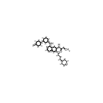 C=CC(=O)Nc1cc2c(Nc3cccc(-c4ccc(F)cc4)c3)ncnc2cc1OCCCN1CCOCC1